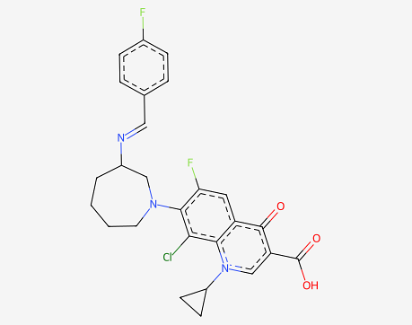 O=C(O)c1cn(C2CC2)c2c(Cl)c(N3CCCCC(N=Cc4ccc(F)cc4)C3)c(F)cc2c1=O